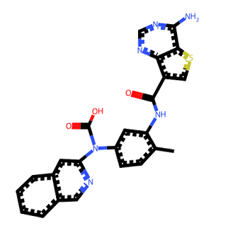 Cc1ccc(N(C(=O)O)c2cc3ccccc3cn2)cc1NC(=O)c1csc2c(N)ncnc12